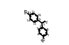 [CH2]C(c1ccc(F)cc1)c1ccc(F)cc1